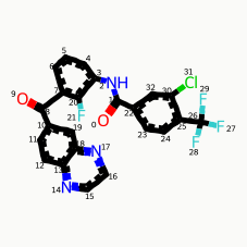 O=C(Nc1cccc(C(=O)c2ccc3nccnc3c2)c1F)c1ccc(C(F)(F)F)c(Cl)c1